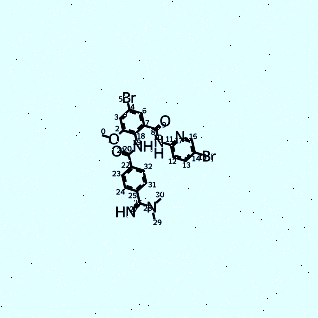 COc1cc(Br)cc(C(=O)Nc2ccc(Br)cn2)c1NC(=O)c1ccc(C(=N)N(C)C)cc1